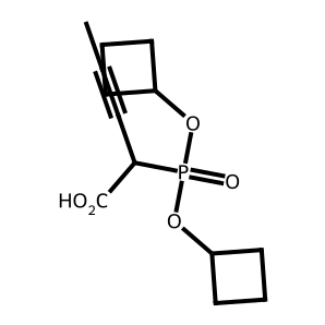 CC#CC(C(=O)O)P(=O)(OC1CCC1)OC1CCC1